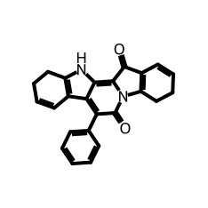 O=C1C2=C(CCC=C2)n2c1c1[nH]c3c(c1c(-c1ccccc1)c2=O)C=CCC3